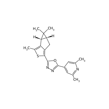 Cc1cc(-c2nnc(-c3sc(C)c4c3C[C@@H]3[C@H]4C3(C)C)o2)cc(C)n1